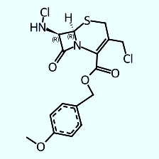 COc1ccc(COC(=O)C2=C(CCl)CS[C@@H]3[C@H](NCl)C(=O)N23)cc1